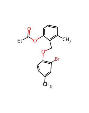 CCC(=O)Oc1cccc(C)c1COc1ccc(C)cc1Br